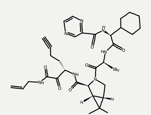 C#CCC[C@H](NC(=O)[C@@H]1[C@@H]2[C@H](CN1C(=O)[C@@H](NC(=O)[C@@H](NC(=O)c1cnccn1)C1CCCCC1)C(C)(C)C)C2(C)C)C(=O)C(=O)NCC=C